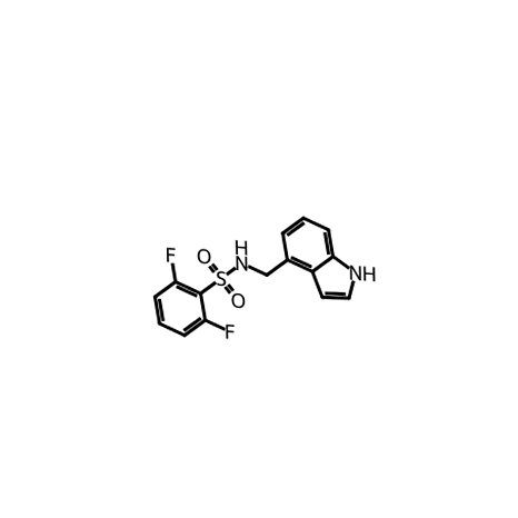 O=S(=O)(NCc1cccc2[nH]ccc12)c1c(F)cccc1F